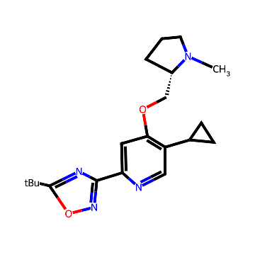 CN1CCC[C@H]1COc1cc(-c2noc(C(C)(C)C)n2)ncc1C1CC1